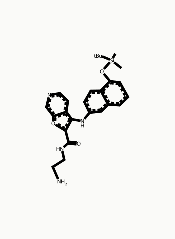 CC(C)(C)[Si](C)(C)Oc1cccc2cc(Nc3c(C(=O)NCCN)oc4cnccc34)ccc12